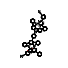 N#Cc1ccc(-c2cc(-c3ccccc3)nc(-n3c4ccccc4c4c(-c5ccc(-n6c7ccccc7c7c6ccc6c8ccccc8n(-c8nc(-c9ccccc9)nc(-c9cccc(C#N)c9)n8)c67)cc5)cc5c6ccccc6n(-c6ccccc6)c5c43)n2)cc1